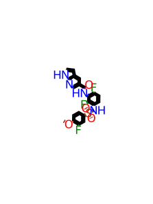 COc1ccc(S(=O)(=O)Nc2ccc(F)c(NC(=O)c3cnc4[nH]ccc4c3)c2F)cc1F